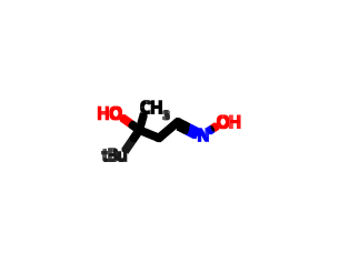 CC(C)(C)C(C)(O)CC=NO